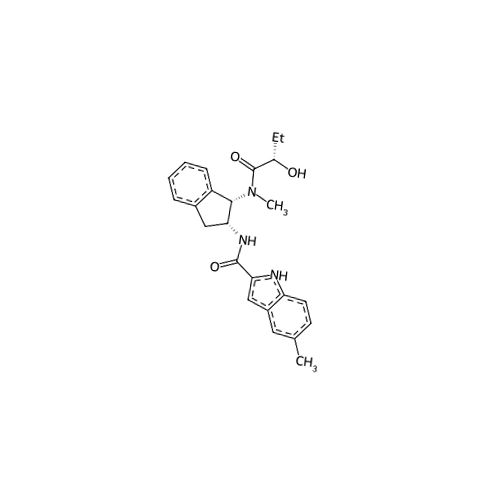 CC[C@H](O)C(=O)N(C)[C@H]1c2ccccc2C[C@H]1NC(=O)c1cc2cc(C)ccc2[nH]1